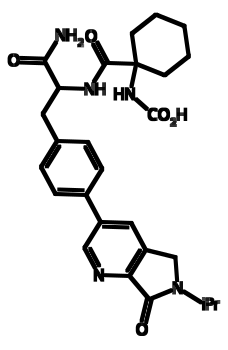 CC(C)N1Cc2cc(-c3ccc(CC(NC(=O)C4(NC(=O)O)CCCCC4)C(N)=O)cc3)cnc2C1=O